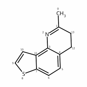 CC1=Nc2c(ccc3sccc23)CC1